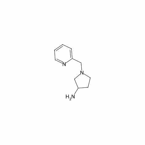 NC1CCN(Cc2ccccn2)C1